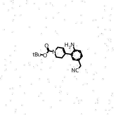 CC(C)(C)OC(=O)N1CC=C(c2cc(CC#N)ccc2N)CC1